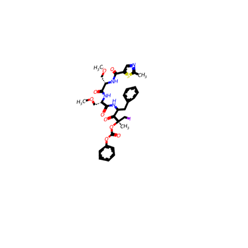 COC[C@H](NC(=O)c1cnc(C)s1)C(=O)N[C@@H](COC)C(=O)NC(Cc1ccccc1)C(=O)[C@@](C)(CI)OC(=O)Oc1ccccc1